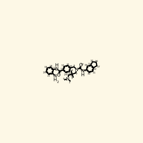 CN(C)CC(C)(C)CN(Cc1ccc(C(=O)Nc2ccccc2N)cc1)C(=O)Nc1ccc2c(c1)CCC2